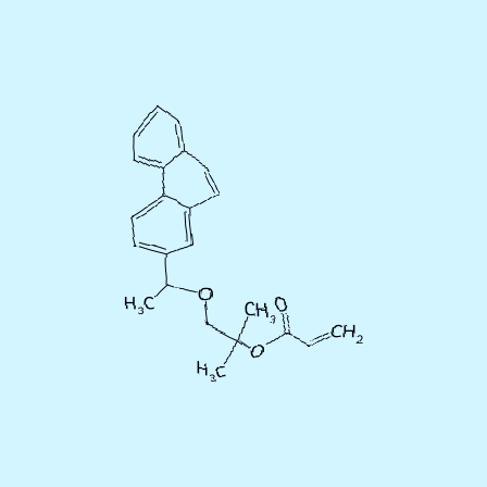 C=CC(=O)OC(C)(C)COC(C)c1ccc2c(ccc3ccccc32)c1